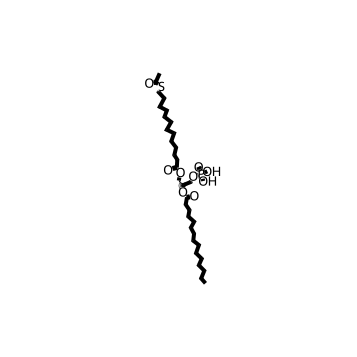 CCCCCCCCCCCCCCC(=O)O[C@H](COC(=O)CCCCCCCCCCCCSC(C)=O)COP(=O)(O)O